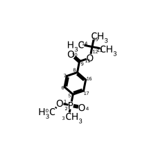 COP(C)(=O)c1ccc(C(=O)OC(C)(C)C)cc1